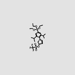 CCO[Si](OCC)(OCC)c1cc(C(C)C)c(N2C=CN(OS(=O)(=O)C(F)(F)F)C2)c(C(C)C)c1